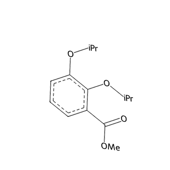 COC(=O)c1cccc(OC(C)C)c1OC(C)C